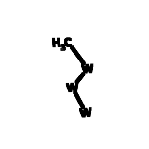 [CH3][W][W][W]